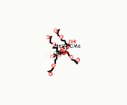 CO[Si](O)(CCCOCC1CO1)O[Si](O)(CCCOCC1CO1)O[Si](CCCOCC1CO1)(OC)O[Si](O)(CCCOCC1CO1)OC